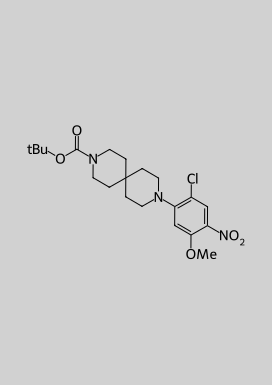 COc1cc(N2CCC3(CCN(C(=O)OC(C)(C)C)CC3)CC2)c(Cl)cc1[N+](=O)[O-]